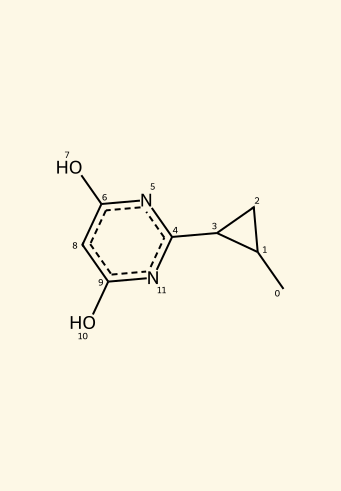 CC1CC1c1nc(O)cc(O)n1